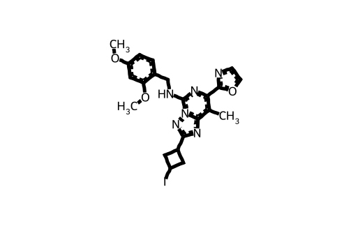 COc1ccc(CNc2nc(-c3ncco3)c(C)c3nc(C4CC(I)C4)nn23)c(OC)c1